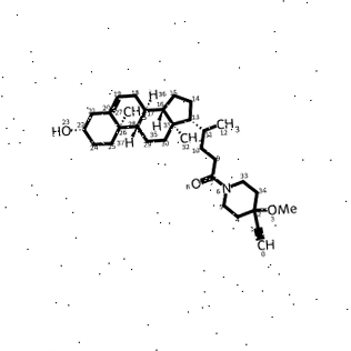 C#CC1(OC)CCN(C(=O)CCC(C)[C@H]2CC[C@H]3[C@@H]4CC=C5C[C@@H](O)CC[C@]5(C)[C@H]4CC[C@]23C)CC1